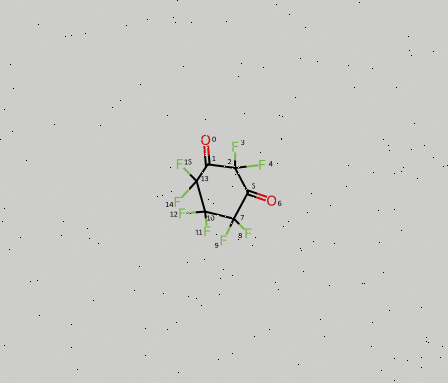 O=C1C(F)(F)C(=O)C(F)(F)C(F)(F)C1(F)F